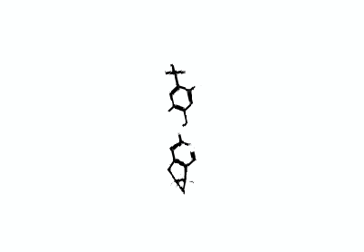 Fc1cc(C(F)(F)F)c(Br)cc1COc1cc2c(cn1)[C@@H]1C[C@@H]1C2